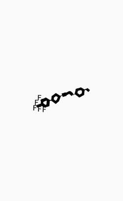 CC[C@H]1CC[C@H](C=CC#C[C@H]2CC[C@H](c3cc(F)c(C(F)(F)F)c(F)c3)CC2)CC1